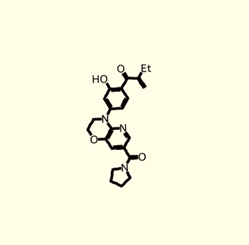 C=C(CC)C(=O)c1ccc(N2CCOc3cc(C(=O)N4CCCC4)cnc32)cc1O